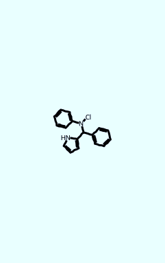 ClN(c1ccccc1)C(c1ccccc1)c1ccc[nH]1